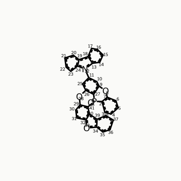 O=P12c3ccccc3Oc3cc(-n4c5ccccc5c5ccccc54)cc(c31)Oc1ccc3oc4ccccc4c3c12